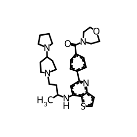 CC(CCN1CCC(N2CCCC2)CC1)Nc1cc(-c2ccc(C(=O)N3CCOCC3)cc2)nc2ccsc12